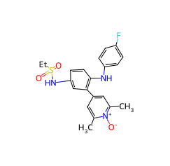 CCS(=O)(=O)Nc1ccc(Nc2ccc(F)cc2)c(-c2cc(C)[n+]([O-])c(C)c2)c1